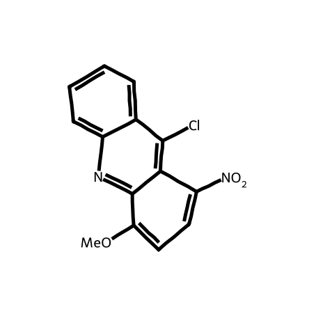 COc1ccc([N+](=O)[O-])c2c(Cl)c3ccccc3nc12